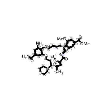 CCn1nc(C)cc1C(=O)/N=c1\sc2cc(C(=O)OC)cc(OC)c2n1C/C=C/CNc1c(N)cc(C(N)=O)cc1OCCCN1CCOCC1